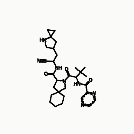 CC(C)(C)C(NC(=O)c1cnccn1)C(=O)N1CC2(CCCCC2)CC1C(=O)NC(C#N)CC1CNC2(CC2)C1